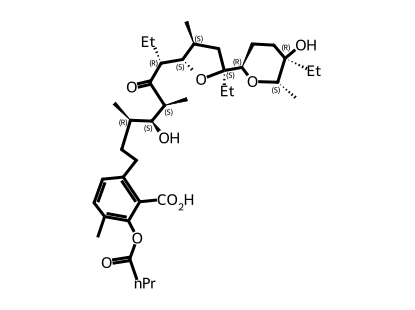 CCCC(=O)Oc1c(C)ccc(CC[C@@H](C)[C@H](O)[C@H](C)C(=O)[C@H](CC)[C@H]2O[C@](CC)([C@H]3CC[C@](O)(CC)[C@H](C)O3)C[C@@H]2C)c1C(=O)O